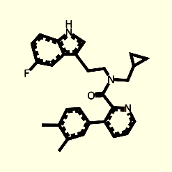 Cc1ccc(-c2cccnc2C(=O)N(CCc2c[nH]c3ccc(F)cc23)CC2CC2)cc1C